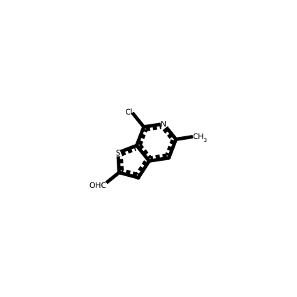 Cc1cc2cc(C=O)sc2c(Cl)n1